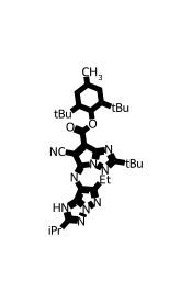 CCc1nn2nc(C(C)C)[nH]c2c1/N=C1/C(C#N)=C(C(=O)OC2C(C(C)(C)C)CC(C)CC2C(C)(C)C)c2nc(C(C)(C)C)nn21